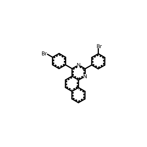 Brc1ccc(-c2nc(-c3cccc(Br)c3)nc3c2ccc2ccccc23)cc1